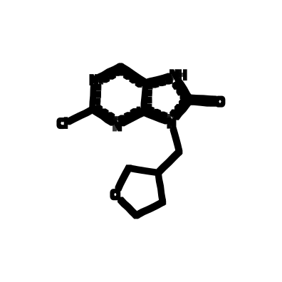 O=c1[nH]c2cnc(Cl)nc2n1CC1CCOC1